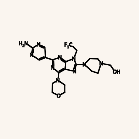 Nc1ncc(-c2nc(N3CCOCC3)c3nc(N4CCN(CO)CC4)n(CC(F)(F)F)c3n2)cn1